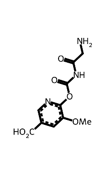 COc1cc(C(=O)O)cnc1OC(=O)NC(=O)CN